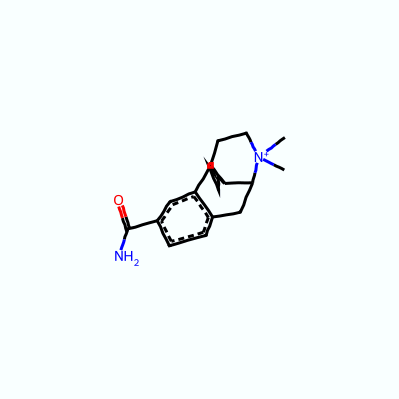 C[N+]1(C)CCC23CCCCC2C1Cc1ccc(C(N)=O)cc13